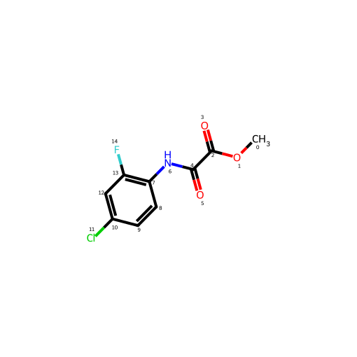 COC(=O)C(=O)Nc1ccc(Cl)cc1F